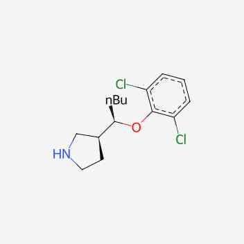 CCCC[C@@H](Oc1c(Cl)cccc1Cl)[C@H]1CCNC1